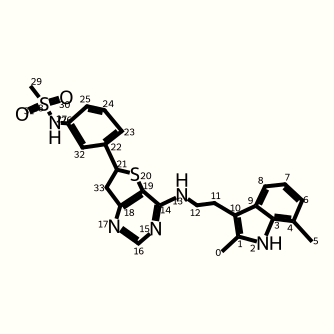 Cc1[nH]c2c(C)cccc2c1CCNc1ncnc2c1SC(c1cccc(NS(C)(=O)=O)c1)C2